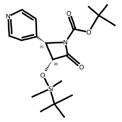 CC(C)(C)OC(=O)N1C(=O)[C@H](O[Si](C)(C)C(C)(C)C)[C@@H]1c1ccncc1